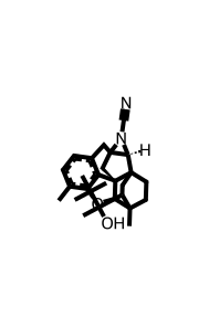 Cc1ccc2c3c1OC1C4(C)CCC5(CC4C(C)(O)C(C)(C)C)[C@@H]4N(C#N)C4(C2)C[C@]315